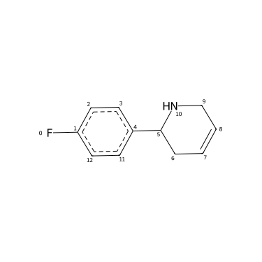 Fc1ccc(C2CC=CCN2)cc1